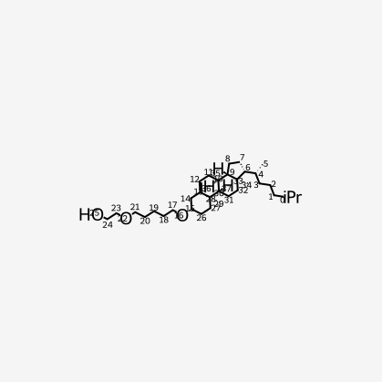 CC(C)CCC[C@@H](C)[C@H]1CC[C@H]2[C@@H]3CC=C4C[C@@H](OCCCCCOCCO)CC[C@]4(C)[C@H]3CC[C@]12C